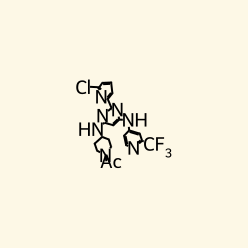 CC(=O)N1CCC(Nc2cc(Nc3ccnc(C(F)(F)F)c3)nc(-c3cccc(Cl)n3)n2)CC1